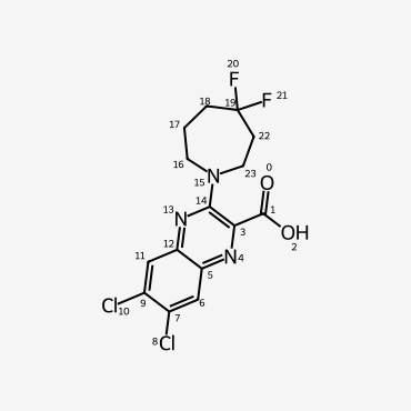 O=C(O)c1nc2cc(Cl)c(Cl)cc2nc1N1CCCC(F)(F)CC1